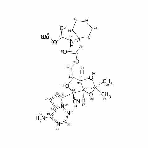 CC(C)(C)OC(=O)NC1(CC(=O)OC[C@H]2O[C@@](C#N)(c3ccc4c(N)ncnn34)[C@@H]3OC(C)(C)O[C@@H]32)CCCCC1